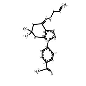 C=CCO/N=C1/CC(C)(C)Cc2c1cnn2-c1ccc(C(N)=O)cc1